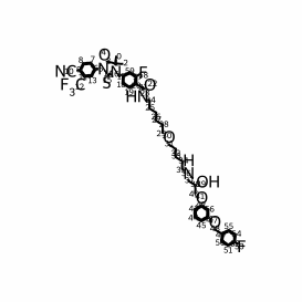 CC1(C)C(=O)N(c2ccc(C#N)c(C(F)(F)F)c2)C(=S)N1c1ccc(C(=O)NCCCCCCOCCCCCNCC(O)COc2cccc(OCc3ccc(F)cc3)c2)c(F)c1